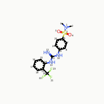 CN(C)S(=O)(=O)c1ccc(NC(=N)Nc2ccccc2C(F)(F)F)cc1